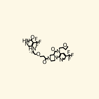 C[C@@H](COCCC(=O)N1CCN2c3ncc(C(F)(F)F)cc3N(CC3CCO3)C(=O)C2C1)Nc1cn[nH]c(=O)c1C(F)(F)F